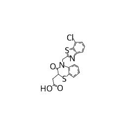 O=C(O)CC1Sc2ccccc2N(Cc2nc3cccc(Cl)c3s2)C1=O